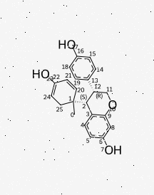 CC1([C@H]2c3ccc(O)cc3OC[C@H]2c2ccc(O)cc2)C=CC(O)=CC1